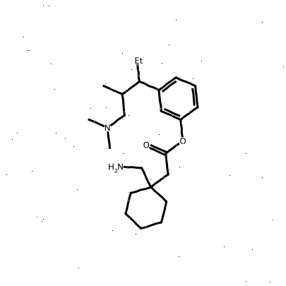 CCC(c1cccc(OC(=O)CC2(CN)CCCCC2)c1)C(C)CN(C)C